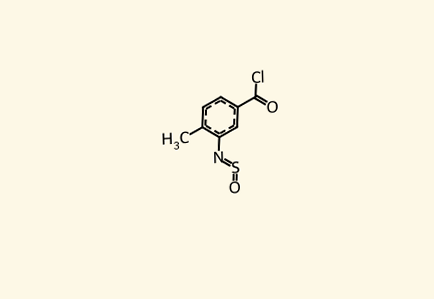 Cc1ccc(C(=O)Cl)cc1N=S=O